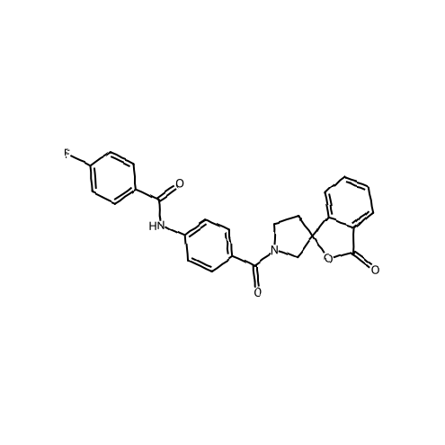 O=C(Nc1ccc(C(=O)N2CCC3(C2)OC(=O)c2ccccc23)cc1)c1ccc(F)cc1